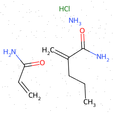 C=C(CCC)C(N)=O.C=CC(N)=O.Cl.N